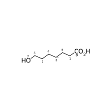 O=C(O)CC[CH]CCCO